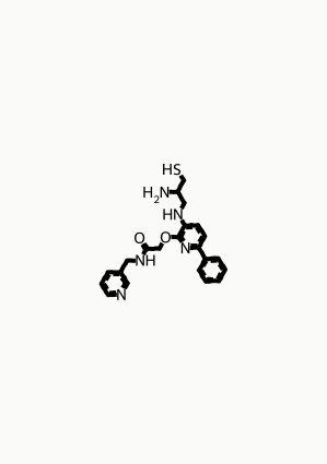 NC(CS)CNc1ccc(-c2ccccc2)nc1OCC(=O)NCc1cccnc1